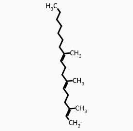 [CH2]/C=C(\C)CC/C=C(\C)CC/C=C(\C)CCCCCCC